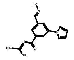 NC(N)=NC(=O)c1cc(C=NO)cc(-n2cccc2)c1